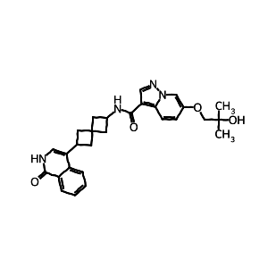 CC(C)(O)COc1ccc2c(C(=O)NC3CC4(C3)CC(c3c[nH]c(=O)c5ccccc35)C4)cnn2c1